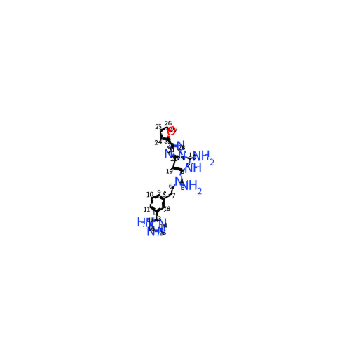 NC1NC(N(N)CCc2cccc(-c3nnn[nH]3)c2)=Cc2nc(-c3ccco3)nn21